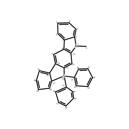 Cn1c2ccccc2c2cc3c(cc21)[Si](c1ccccc1)(c1ccccc1)c1ccccc1-3